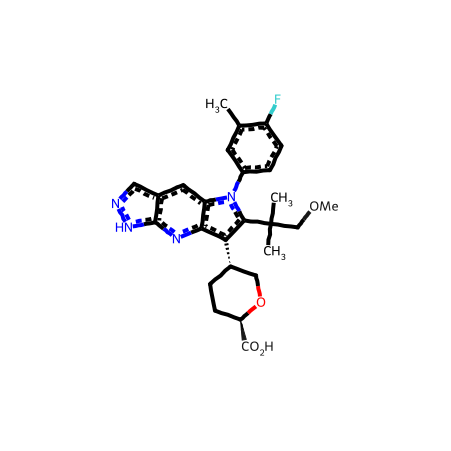 COCC(C)(C)c1c([C@H]2CC[C@H](C(=O)O)OC2)c2nc3[nH]ncc3cc2n1-c1ccc(F)c(C)c1